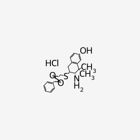 CC1(C)c2cc(O)ccc2C[C@H](SCS(=O)(=O)c2ccccc2)[C@H]1N.Cl